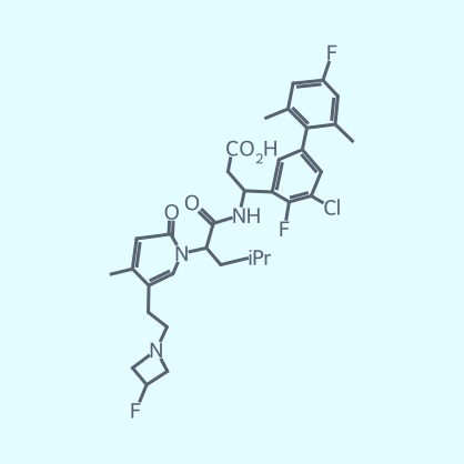 Cc1cc(=O)n(C(CC(C)C)C(=O)NC(CC(=O)O)c2cc(-c3c(C)cc(F)cc3C)cc(Cl)c2F)cc1CCN1CC(F)C1